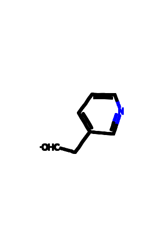 O=[C]Cc1cccnc1